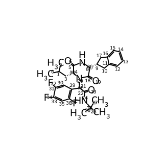 CC(C)C[C@@H]1C(=O)N[C@H](C2Cc3ccccc3C2)C(=O)N1[C@@H](C(=O)NC(C)(C)C)c1cc(F)c(F)cc1F